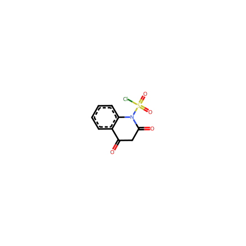 O=C1CC(=O)N(S(=O)(=O)Cl)c2ccccc21